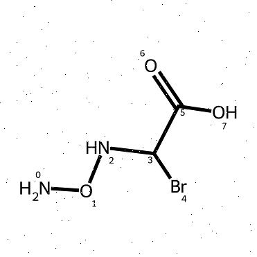 NONC(Br)C(=O)O